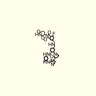 Cc1ccc(NC(=O)c2ccc(CNCc3cc(F)c4c(c3)C(=O)N(C3CCC(=O)NC3=O)C4=O)cc2)cc1Nc1nccc(-c2cccnc2)n1